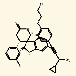 CC(C#Cc1ccc(OCCO)c([C@H]2NC(=O)C[C@@H](c3cccc(Cl)c3)[C@]23C(=O)Nc2cc(Cl)ccc23)c1)C1CC1